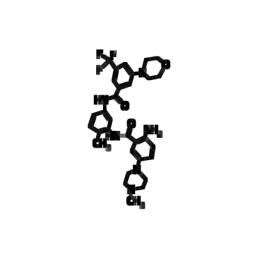 Cc1ccc(NC(=O)c2cc(N3CCOCC3)cc(C(F)(F)F)c2)cc1NC(=O)c1cc(N2CCN(C)CC2)ccc1N